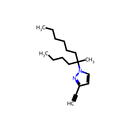 C#Cc1ccn(C(C)(CCCC)CCCCCC)n1